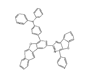 c1ccc(-c2nc(-c3cc(-c4ccc(N(c5ccccc5)c5ccccc5)cc4)c4oc5cc6ccccc6cc5c4c3)nc3c2oc2ccccc23)cc1